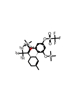 [2H]C([2H])=C([C@@H]1CCC(C)=C[C@H]1c1c(O[Si](C)(C)C)cc(OS(=O)(=O)C(F)(F)F)cc1O[Si](C)(C)C)C([2H])([2H])[2H]